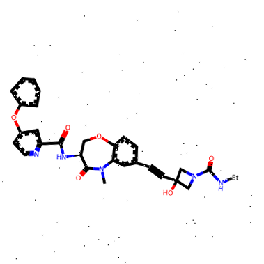 CCNC(=O)N1CC(O)(C#Cc2ccc3c(c2)N(C)C(=O)[C@@H](NC(=O)c2cc(Oc4ccccc4)ccn2)CO3)C1